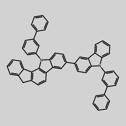 c1ccc(-c2cccc(-n3c4ccccc4c4cc(-c5ccc6c(c5)c5ccc7c(c5n6-c5cccc(-c6ccccc6)c5)-c5ccccc5C7)ccc43)c2)cc1